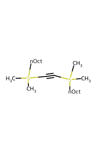 CCCCCCCCS(C)(C)C#CS(C)(C)CCCCCCCC